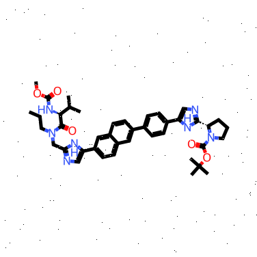 CCCN(Cc1ncc(-c2ccc3cc(-c4ccc(-c5cnc([C@@H]6CCCN6C(=O)OC(C)(C)C)[nH]5)cc4)ccc3c2)[nH]1)C(=O)[C@@H](NC(=O)OC)C(C)C